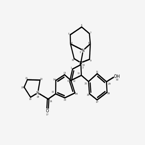 C=CCN1C2CCCC1CN(C(c1ccc(C(=O)N3CCCC3)cc1)c1cccc(O)c1)C2